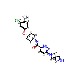 N#Cc1ccc(O[C@H]2CC[C@H](NC(=O)c3ccc(N4CC5(CNC5)C4)nn3)CC2)cc1Cl